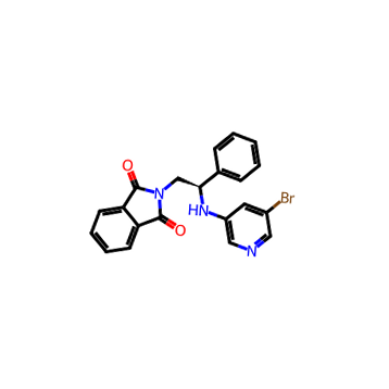 O=C1c2ccccc2C(=O)N1C[C@H](Nc1cncc(Br)c1)c1ccccc1